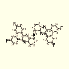 Fc1ccc(-c2nc3ccc[c]([Ir+][c]4cccc5nc(-c6ccc(F)cc6)c(-c6ccc(F)cc6)nc45)c3nc2-c2ccc(F)cc2)cc1